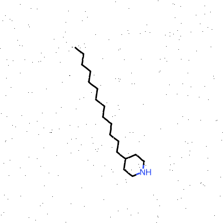 [CH2]CCCCCCCCCCCCC1CCNCC1